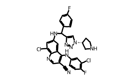 N#Cc1cnc2c(Cl)cc(NC(c3ccc(F)cc3)c3cn([C@@H]4CCNC4)nn3)cc2c1Nc1ccc(F)c(Cl)c1